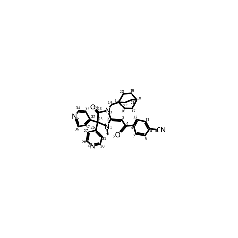 CN1C(=CC(=O)c2ccc(C#N)cc2)N(CC23CCC(CC2)CC3)C(=O)C1(c1ccncc1)c1ccncc1